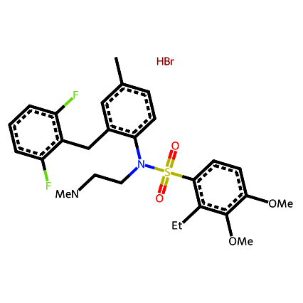 Br.CCc1c(S(=O)(=O)N(CCNC)c2ccc(C)cc2Cc2c(F)cccc2F)ccc(OC)c1OC